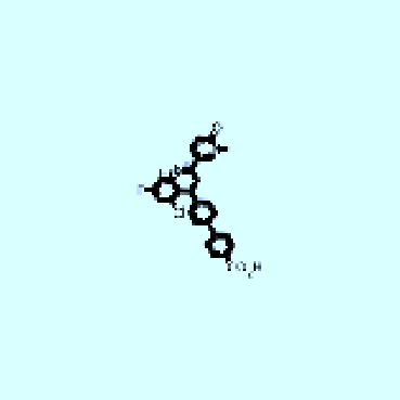 Cn1cc(/C(CC(c2ccc(-c3ccc(C(=O)O)cc3)cc2)c2ccc(F)cc2Cl)=N/O)ccc1=O